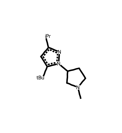 CC(C)c1cc(C(C)(C)C)n(C2CCN(C)C2)n1